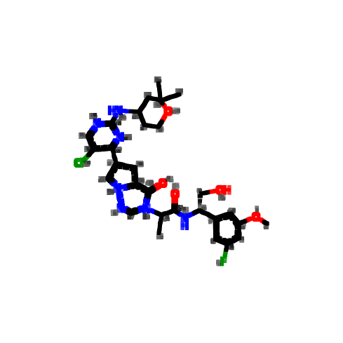 COc1cc(F)cc([C@@H](CO)NC(=O)C(C)n2cnn3cc(-c4nc(NC5CCOC(C)(C)C5)ncc4Cl)cc3c2=O)c1